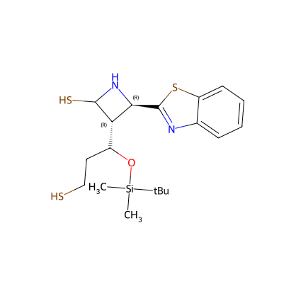 CC(C)(C)[Si](C)(C)OC(CCS)[C@@H]1C(S)N[C@H]1c1nc2ccccc2s1